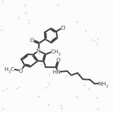 COc1ccc2c(c1)c(CC(=O)NCCCCCCN)c(C)n2C(=O)c1ccc(Cl)cc1